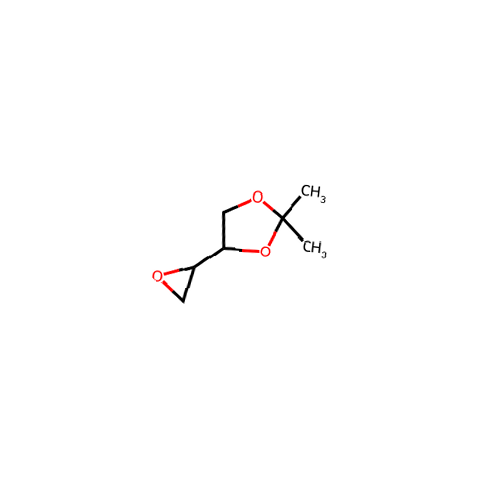 CC1(C)OCC(C2CO2)O1